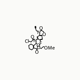 C#CCN1C(=O)COc2cc(F)c(N(C(=O)CCl)C(=O)C3=C(C(=O)OCCOC)CCCC3)cc21